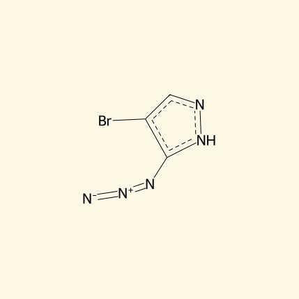 [N-]=[N+]=Nc1[nH]ncc1Br